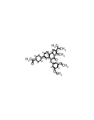 COc1cc(Cn2c(=O)n3c(C)c(C(C)C)nc3c3ncc(N4CCN(C(C)=O)CC4)cc32)cc(OC)c1